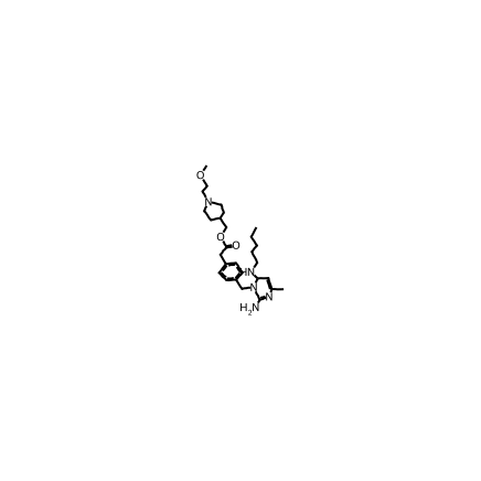 CCCCCNC1C=C(C)N=C(N)N1Cc1ccc(CC(=O)OCC2CCN(CCOC)CC2)cc1